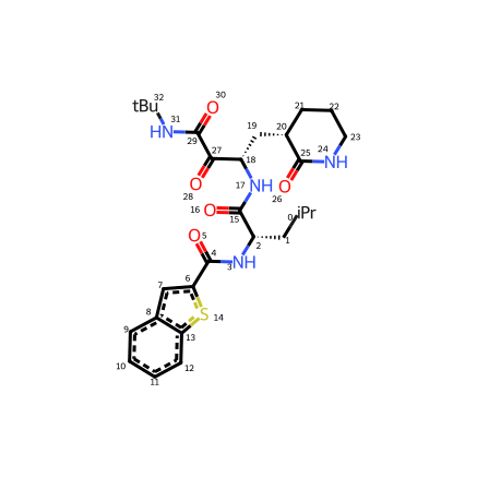 CC(C)C[C@H](NC(=O)c1cc2ccccc2s1)C(=O)N[C@@H](C[C@@H]1CCCNC1=O)C(=O)C(=O)NC(C)(C)C